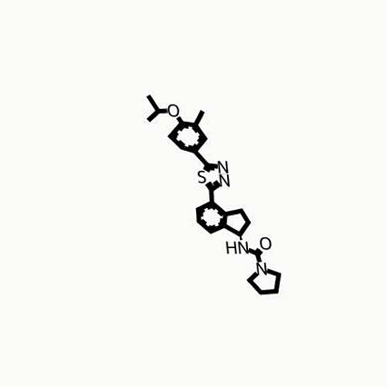 Cc1cc(-c2nnc(-c3cccc4c3CC[C@@H]4NC(=O)N3CCCC3)s2)ccc1OC(C)C